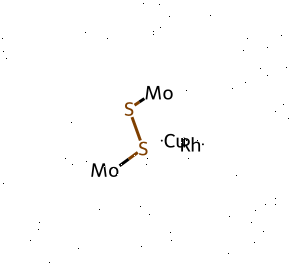 [Cu].[Mo][S][S][Mo].[Rh]